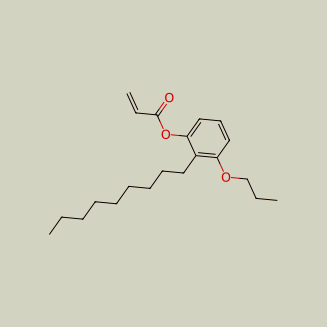 C=CC(=O)Oc1cccc(OCCC)c1CCCCCCCCC